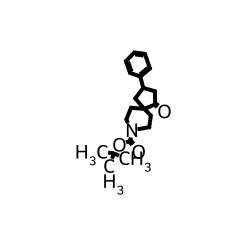 CC(C)(C)OC(=O)N1CCC2(CC1)CC(c1ccccc1)CC2=O